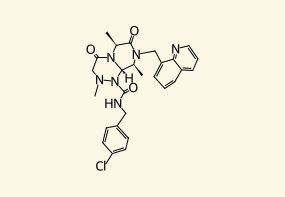 C[C@H]1[C@H]2N(C(=O)CN(C)N2C(=O)NCc2ccc(Cl)cc2)[C@@H](C)C(=O)N1Cc1cccc2cccnc12